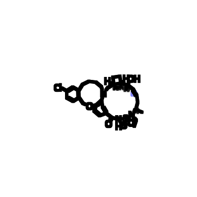 CCN1[C@H](C)C/C=C\[C@H](O)[C@@H]2CC[C@H]2CN2CCCCc3cc(Cl)ccc3COc3ccc(cc32)C(=O)NS1(=O)=O